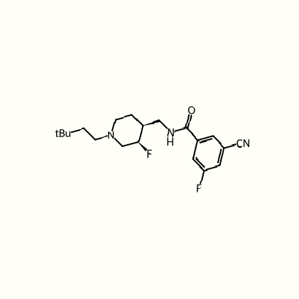 CC(C)(C)CCN1CC[C@@H](CNC(=O)c2cc(F)cc(C#N)c2)[C@@H](F)C1